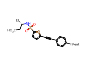 CCCCCc1ccc(C#Cc2ccc(S(=O)(=O)N[C@@H](CC)CC(=O)O)s2)cc1